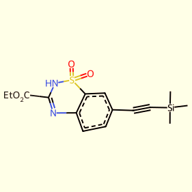 CCOC(=O)C1=Nc2ccc(C#C[Si](C)(C)C)cc2S(=O)(=O)N1